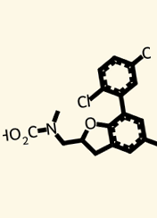 CN(CC1Cc2cc(F)cc(-c3cc(Cl)ccc3Cl)c2O1)C(=O)O